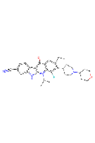 CCc1cc2c(=O)c3c4ccc(C#N)cc4[nH]c3n(C(C)C)c2c(F)c1C1CCN(C2CCOCC2)CC1